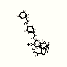 CC(C)C1COC(=O)N1C(=O)[C@H](C)[C@@H](O)[C@H](CCc1ccc(OCc2ccccc2)cc1)NC(=O)OC(C)(C)C